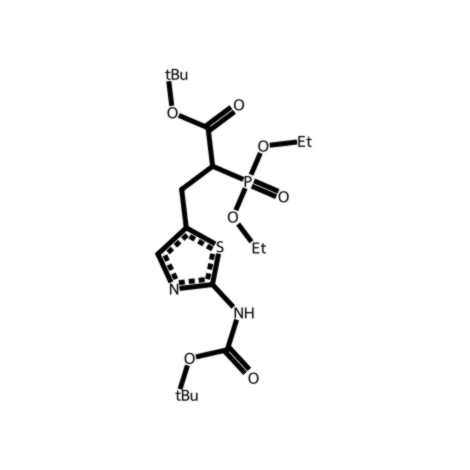 CCOP(=O)(OCC)C(Cc1cnc(NC(=O)OC(C)(C)C)s1)C(=O)OC(C)(C)C